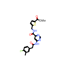 COC(=O)c1ccc(CNC(=O)c2cc(NC(=O)Cc3ccc(F)c(C)c3)ncn2)s1